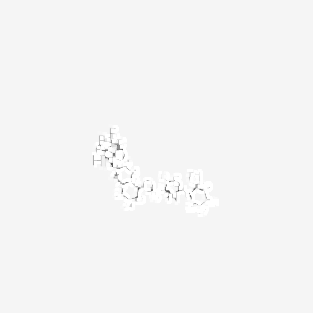 O=S(=O)(Nc1ccc2c(OCc3csc(-c4ccccc4Cl)n3)cccc2c1)C(F)(F)F